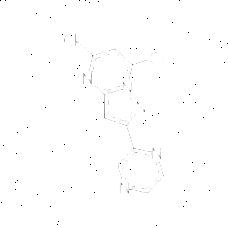 Clc1cc(Cl)n2nc(-c3cnccn3)cc2n1